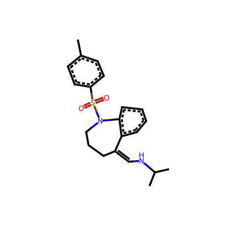 Cc1ccc(S(=O)(=O)N2CCC/C(=C/NC(C)C)c3ccccc32)cc1